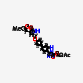 COC(=O)C[C@@H]1C[C@@H](COc2ccc(-c3ccc(C(=N)NC(=O)OCOC(C)=O)cc3)cc2)NC1=O